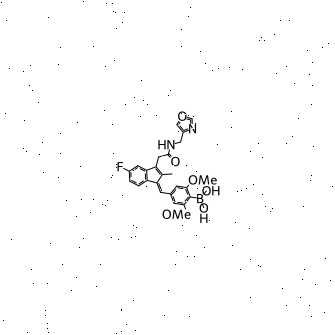 COc1cc(C=C2C(C)=C(CC(=O)NCc3cocn3)c3cc(F)ccc32)cc(OC)c1B(O)O